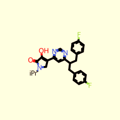 CC(C)N1CC(c2cc(C(Cc3ccc(F)cc3)Cc3ccc(F)cc3)ncn2)=C(O)C1=O